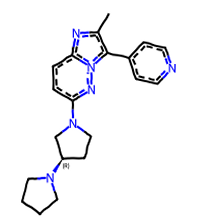 Cc1nc2ccc(N3CC[C@@H](N4CCCC4)C3)nn2c1-c1ccncc1